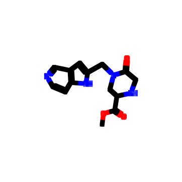 COC(=O)C1CN(Cc2cc3cnccc3[nH]2)C(=O)CN1